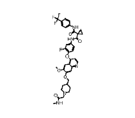 CNC(=O)CN1CCC(COc2cc3nccc(Oc4ccc(NC(=O)C5(C(=O)Nc6ccc(C(F)(F)F)cc6)CC5)cc4F)c3cc2OC)CC1